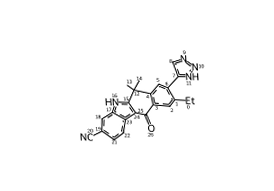 CCc1cc2c(cc1-c1cnn[nH]1)C(C)(C)c1[nH]c3cc(C#N)ccc3c1C2=O